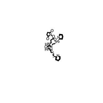 O=C(CCNP(=O)(NCCSSc1ccccn1)NCCSSc1ccccn1)ON1C(=O)CCC1=O